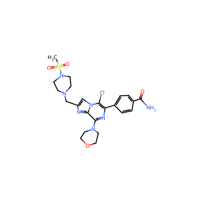 CS(=O)(=O)N1CCN(Cc2cn3c(Cl)c(-c4ccc(C(N)=O)cc4)nc(N4CCOCC4)c3n2)CC1